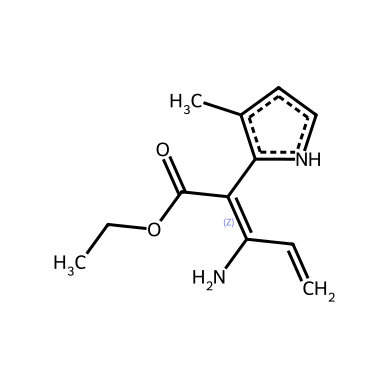 C=C/C(N)=C(/C(=O)OCC)c1[nH]ccc1C